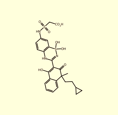 CC1(CCC2CC2)C(=O)C(C2=NS(O)(O)c3cc(NS(=O)(=O)CC(=O)O)ccc3N2)=C(O)c2ccccc21